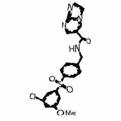 COc1cc(Cl)cc(S(=O)(=O)c2ccc(CNC(=O)c3cnc4nccn4c3)cc2)c1